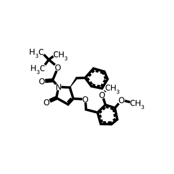 COc1cccc(COC2=CC(=O)N(C(=O)OC(C)(C)C)[C@H]2Cc2ccccc2)c1OC